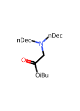 CCCCCCCCCCN(CCCCCCCCCC)CC(=O)OCC(C)C